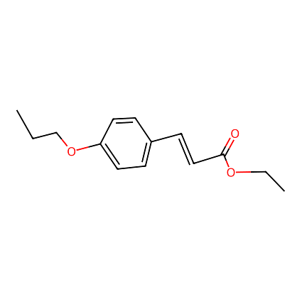 CCCOc1ccc(C=CC(=O)OCC)cc1